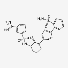 N=C(N)c1cccc(S(=O)(=O)NC2CCCN(c3ccc(-c4ccccc4S(N)(=O)=O)cc3)C2=O)c1